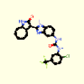 O=C(Nc1ccc2[nH]c(-c3c4cccccc-4[nH]c3=O)nc2c1)Nc1cc(C(F)(F)F)ccc1Cl